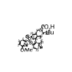 COc1cccc(S(=O)(=O)n2cc(CN(CC(C)(C)C)C(=O)O)c(F)c2-c2cccnc2F)n1